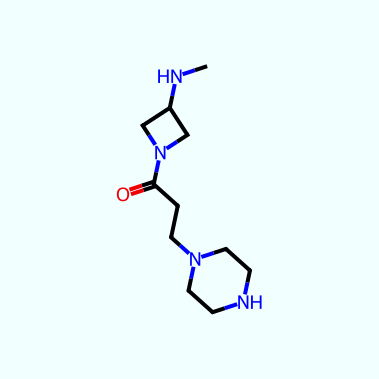 CNC1CN(C(=O)CCN2CCNCC2)C1